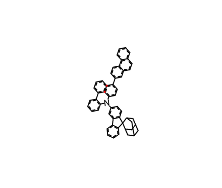 c1ccc(-c2ccccc2N(c2ccc(-c3ccc4c(ccc5ccccc54)c3)cc2)c2ccc3c(c2)-c2ccccc2C32C3CC4CC(C3)CC2C4)cc1